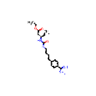 C=C[C@H](CC(=O)OCC)NC(=O)NCCCCc1ccc(C(=N)N)cc1